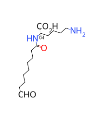 NCCCC[C@H](NC(=O)CCCCCCCC=O)C(=O)O